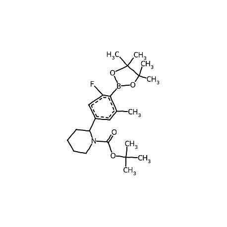 Cc1cc(C2CCCCN2C(=O)OC(C)(C)C)cc(F)c1B1OC(C)(C)C(C)(C)O1